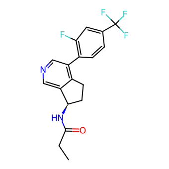 CCC(=O)N[C@@H]1CCc2c(-c3ccc(C(F)(F)F)cc3F)cncc21